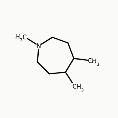 CC1CCN(C)CCC1C